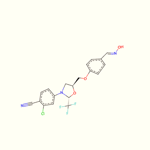 N#Cc1ccc(N2C[C@@H](COc3ccc(/C=N/O)cc3)O[C@@H]2C(F)(F)F)cc1Cl